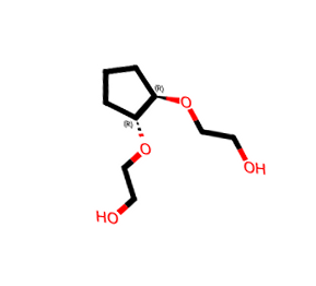 OCCO[C@@H]1CCC[C@H]1OCCO